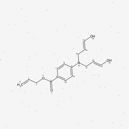 C=CCOC(=O)c1ccc(N(CC=CO)CC=CO)cc1